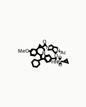 COc1ccc2c(c1)C1CC1(C(=O)N1CC3CN(C(C)=O)CC3C1)Cn1c-2c(C2CCCCC2)c2ccc(C(=O)NS(=O)(=O)C3CC3)cc21